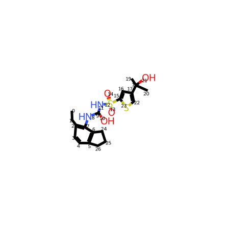 CCc1ccc2c(c1NC(O)NS(=O)(=O)c1cc(C(C)(C)O)cs1)CCC2